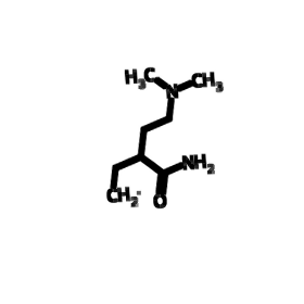 [CH2]CC(CCN(C)C)C(N)=O